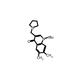 Cc1cc2c(=O)c(CN3CCCC3)cn(C(C)(C)C)c2cc1C